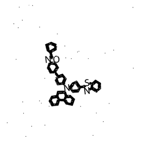 c1ccc(-c2nc3ccc(-c4ccc(N(c5ccc(-c6nc7ccccc7s6)cc5)c5cc6ccccc6c6ccccc56)cc4)cc3o2)cc1